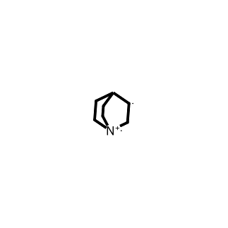 [CH]1C[N+]2CCC1CC2